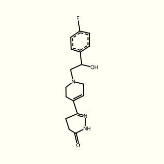 O=C1CCC(C2=CCN(CC(O)c3ccc(F)cc3)CC2)=NN1